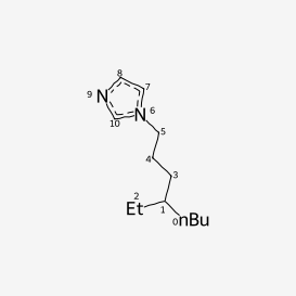 CCCCC(CC)CCCn1ccnc1